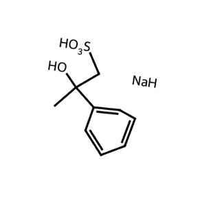 CC(O)(CS(=O)(=O)O)c1ccccc1.[NaH]